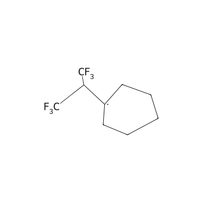 FC(F)(F)C([C]1CCCCC1)C(F)(F)F